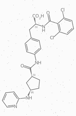 O=C(N[C@@H](Cc1ccc(NC(=O)[C@H]2CC[C@@H](Nc3ccccn3)C2)cc1)C(=O)O)c1c(Cl)cccc1Cl